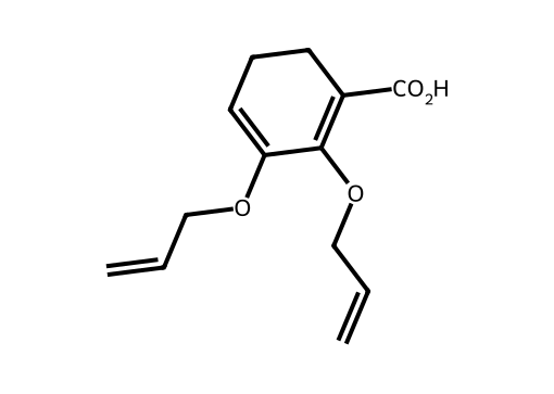 C=CCOC1=CCCC(C(=O)O)=C1OCC=C